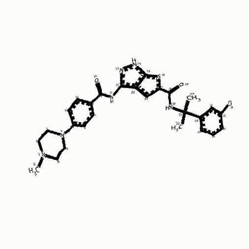 CN1CCN(c2ccc(C(=O)Nc3n[nH]c4sc(C(=O)NC(C)(C)c5cccc(Cl)c5)cc34)cc2)CC1